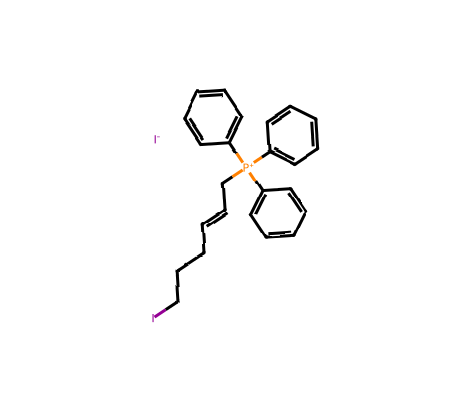 ICCCC=CC[P+](c1ccccc1)(c1ccccc1)c1ccccc1.[I-]